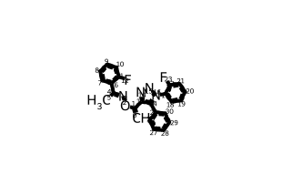 C=C(O/N=C(\C)c1ccccc1F)c1nnn(-c2ccccc2F)c1-c1ccccc1